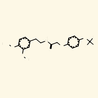 COc1ccc(CCNC(=O)COc2ccc(OC(F)(F)F)cc2)cc1OC